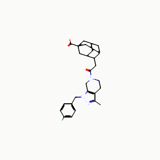 Cc1nn(Cc2ccc(F)cc2)c2c1CCN(C(=O)CC1C3CC4CC1CC(C(=O)O)(C4)C3)C2